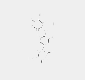 CC(C)c1c(CO)c(Oc2c(Cl)cc(-n3nc(C#N)c(=O)[nH]c3=O)cc2Cl)n[nH]c1=O